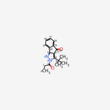 CCC(=O)n1nc2c(c1C(C)(C)C)C(=O)c1ccccc1-2